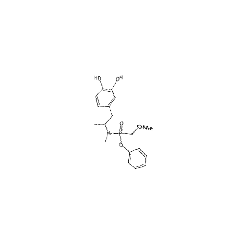 COCP(=O)(Oc1ccccc1)N(C)C(C)Cc1ccc(O)c(O)c1